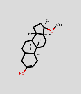 CCCCO[C@]1(CC)CC[C@H]2[C@@H]3CCC4CC(O)=CC[C@]4(C)[C@H]3CC[C@@]21C